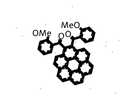 COc1ccccc1C(=O)c1c(C(=O)c2ccccc2OC)c2ccc3ccc4ccc5ccc6ccc1c1c6c5c4c3c21